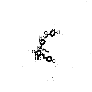 CCCn1c(-c2ccc(NCC(=O)c3ccc(Cl)nc3)nc2)nc2c(=O)[nH]c(=O)n(CCc3ccc(OC)cc3)c21